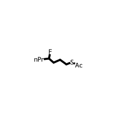 CCCC(F)CCCSC(C)=O